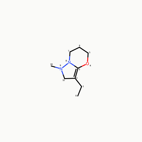 CCC1=C2OCCCN2N(C)C1